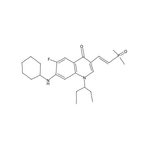 CCC(CC)n1cc(/C=C/P(C)(C)=O)c(=O)c2cc(F)c(NC3CCCCC3)cc21